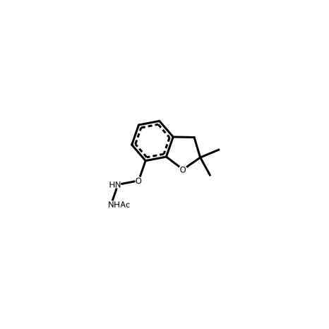 CC(=O)NNOc1cccc2c1OC(C)(C)C2